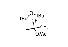 CC(C)(C)OC(C)(C)C.COC(F)(C(F)(F)F)C(F)(F)F